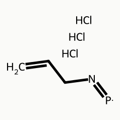 C=CCN=[P].Cl.Cl.Cl